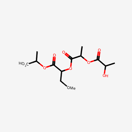 COCC(OC(=O)C(C)OC(=O)C(C)O)C(=O)OC(C)C(=O)O